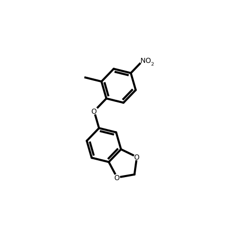 Cc1cc([N+](=O)[O-])ccc1Oc1ccc2c(c1)OCO2